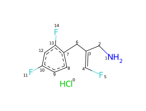 Cl.NCC(=CF)Cc1ccc(F)cc1F